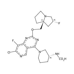 O=C(O)N[C@@H]1CCCN(c2nc(OC[C@@]34CCCN3C[C@H](F)C4)nc3c(F)c(Cl)ncc23)C1